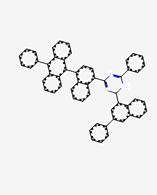 c1ccc(C2=NC(c3ccc(-c4c5ccccc5c(-c5ccccc5)c5ccccc45)c4ccccc34)=NC(c3cc(-c4ccccc4)cc4ccccc34)N2)cc1